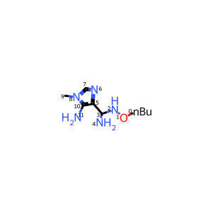 CCCCONC(N)c1ncn(C)c1N